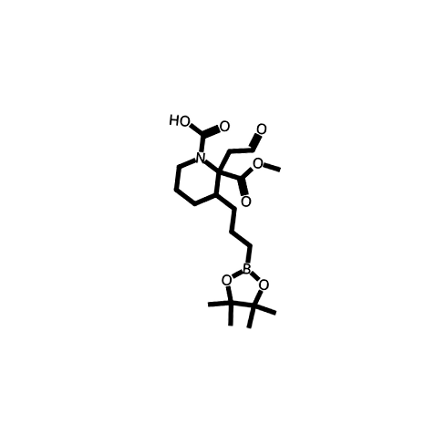 COC(=O)C1(CC=O)C(CCCB2OC(C)(C)C(C)(C)O2)CCCN1C(=O)O